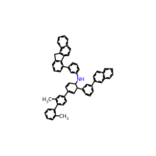 Cc1ccccc1-c1ccc(C2=CC(c3cccc(-c4ccc5ccccc5c4)c3)C(Nc3cccc(-c4cccc5c4-c4ccc6ccccc6c4C5)c3)C=C2)cc1C